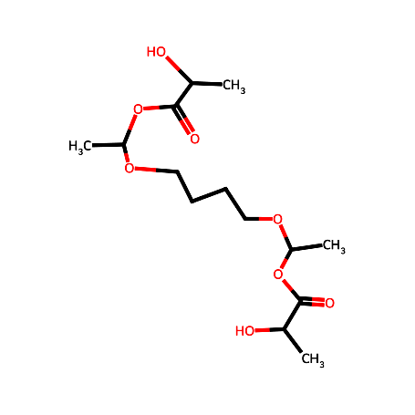 CC(OCCCCOC(C)OC(=O)C(C)O)OC(=O)C(C)O